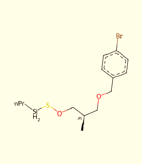 CCC[SiH2]SOC[C@H](C)COCc1ccc(Br)cc1